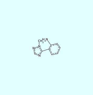 Cn1ncnc1-c1ccccc1N